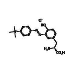 C[N+](C)(C)c1ccc(N=Nc2cc(C[C@H](N)C(=O)O)ccc2O)cc1.[Cl-]